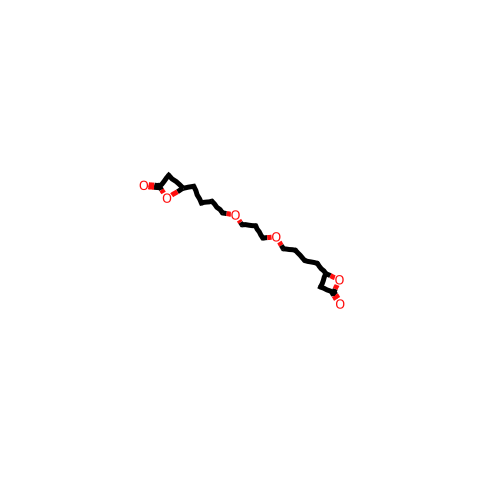 O=C1CC(CCCCOCCCOCCCCC2CC(=O)O2)O1